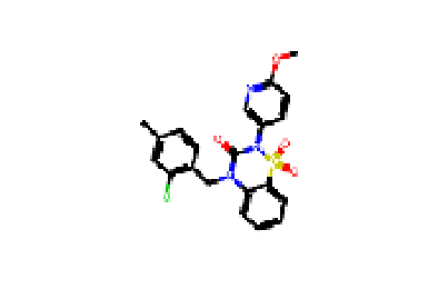 COc1ccc(N2C(=O)N(Cc3ccc(C)cc3Cl)c3ccccc3S2(=O)=O)cn1